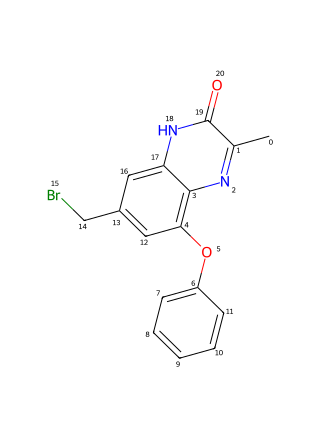 Cc1nc2c(Oc3ccccc3)cc(CBr)cc2[nH]c1=O